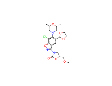 COC[C@H]1CN(c2noc3c(Cl)c(N4C[C@@H](C)O[C@H](C)C4)c(C4OCCO4)cc23)C(=O)O1